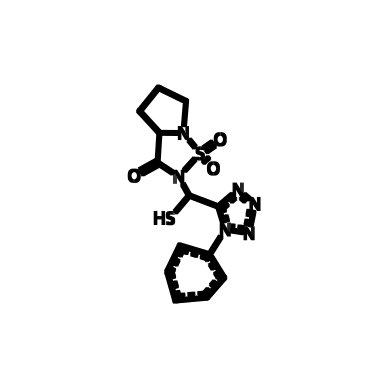 O=C1C2CCCN2S(=O)(=O)N1C(S)c1nnnn1-c1ccccc1